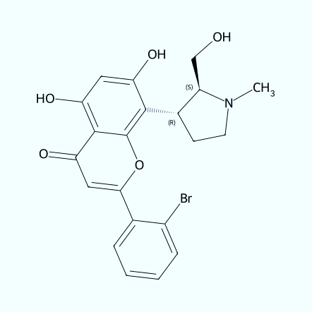 CN1CC[C@H](c2c(O)cc(O)c3c(=O)cc(-c4ccccc4Br)oc23)[C@H]1CO